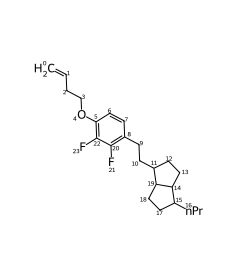 C=CCCOc1ccc(CCC2CCC3C(CCC)CCC23)c(F)c1F